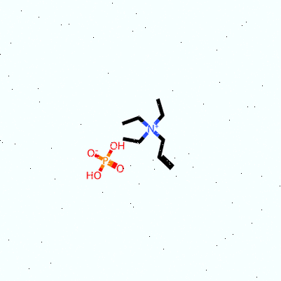 C=CC[N+](CC)(CC)CC.O=P([O-])(O)O